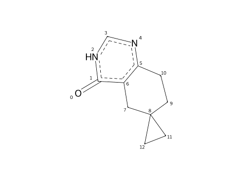 O=c1[nH]cnc2c1CC1(CC2)CC1